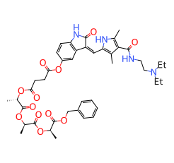 CCN(CC)CCNC(=O)c1c(C)[nH]c(/C=C2\C(=O)Nc3ccc(OC(=O)CCC(=O)O[C@@H](C)C(=O)O[C@H](C)C(=O)O[C@H](C)C(=O)OCc4ccccc4)cc32)c1C